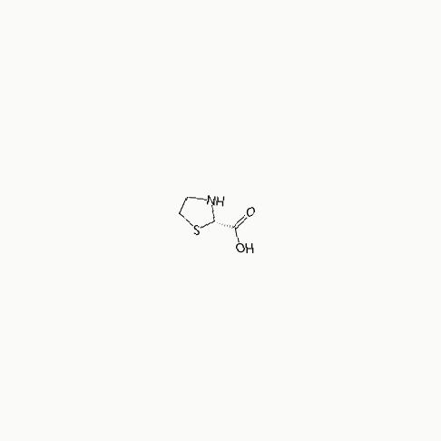 O=C(O)[C@H]1NCCS1